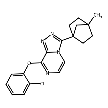 CC12CCC(c3nnc4c(Oc5ccccc5Cl)nccn34)(CC1)C2